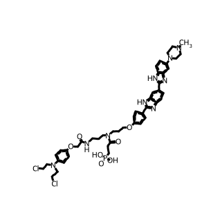 CN1CCN(c2ccc3[nH]c(-c4ccc5nc(-c6ccc(OCCCN(CCCNC(=O)COc7ccc(N(CCCl)CCCl)cc7)C(=O)CCP(=O)(O)O)cc6)[nH]c5c4)nc3c2)CC1